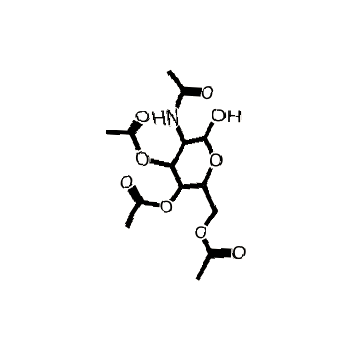 CC(=O)NC1C(O)OC(COC(C)=O)C(OC(C)=O)C1OC(C)=O